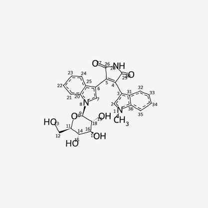 Cn1cc(C2=C(c3cn([C@@H]4O[C@H](CO)[C@@H](O)[C@H](O)[C@H]4O)c4ccccc34)C(=O)NC2=O)c2ccccc21